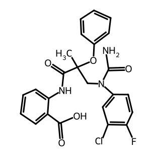 CC(CN(C(N)=O)c1ccc(F)c(Cl)c1)(Oc1ccccc1)C(=O)Nc1ccccc1C(=O)O